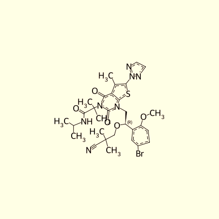 COc1ccc(Br)cc1[C@H](Cn1c(=O)n(C(C)(C)C(=O)NC(C)C)c(=O)c2c(C)c(-n3nccn3)sc21)OCC(C)(C)C#N